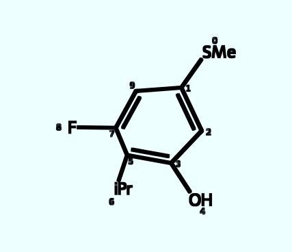 CSc1cc(O)c(C(C)C)c(F)c1